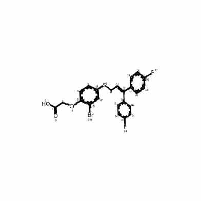 O=C(O)COc1ccc(SCC=C(c2ccc(F)cc2)c2ccc(F)cc2)cc1Br